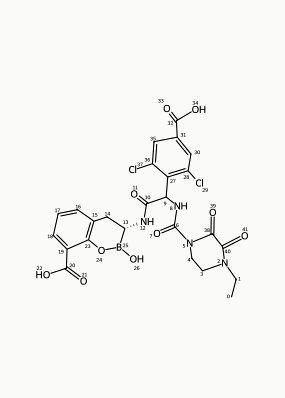 CCN1CCN(C(=O)NC(C(=O)N[C@H]2Cc3cccc(C(=O)O)c3OB2O)c2c(Cl)cc(C(=O)O)cc2Cl)C(=O)C1=O